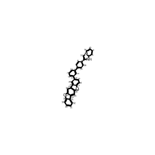 C1=CC2NC(c3ccc(-c4cccc(-c5ccc6oc7cc8c(cc7c6c5)oc5ccccc58)c4)cc3)=CN2C=C1